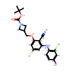 CC(C)(C)OC(=O)N1CC(COc2cc(F)cc(Nc3ccc(I)cc3F)c2C#N)C1